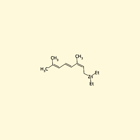 C[CH2][Zn]([CH2]C)[CH2]C=C(C)C=CC=C(C)C